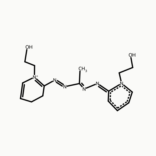 CC(/N=N/C1=[N+](CCO)C=CCC1)=N\N=c1/ccccn1CCO